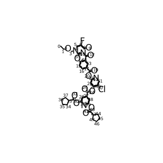 CCOCn1cc(F)c(=O)n(C(=O)c2cccc(C(=O)Oc3cc(OC(=O)c4cc(OC(=O)C5CCCC5)nc(OC(=O)C5CCCC5)c4)c(Cl)cn3)c2)c1=O